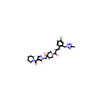 Cc1nnn(Cc2cc(Cl)ccc2C=CC(=O)N2CCC(O)(Cn3cc(C(=O)N4CCCCC4)cn3)CC2)n1